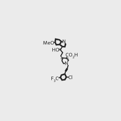 COc1ccc2nccc([C@H](O)CC[C@@H]3CCN(CC#Cc4cc(C(F)(F)F)ccc4Cl)C[C@@H]3C(=O)O)c2c1